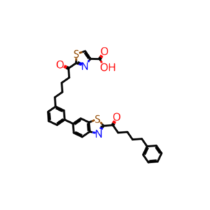 O=C(O)c1csc(C(=O)CCCCc2cccc(-c3ccc4nc(C(=O)CCCCc5ccccc5)sc4c3)c2)n1